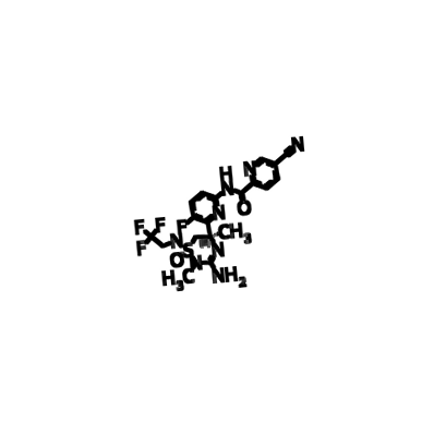 CN1C(N)=N[C@](C)(c2nc(NC(=O)c3ccc(C#N)cn3)ccc2F)CS1(=O)=NCC(F)(F)F